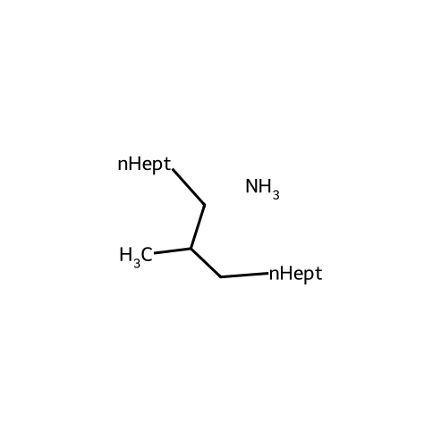 CCCCCCCCC(C)CCCCCCCC.N